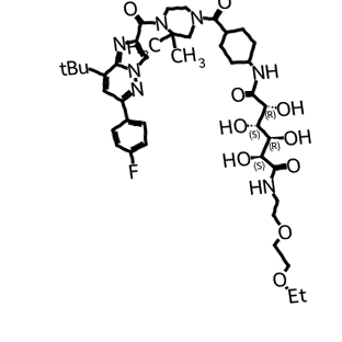 CCOCCOCCNC(=O)[C@@H](O)[C@H](O)[C@H](O)[C@@H](O)C(=O)NC1CCC(C(=O)N2CCN(C(=O)c3cn4nc(-c5ccc(F)cc5)cc(C(C)(C)C)c4n3)C(C)(C)C2)CC1